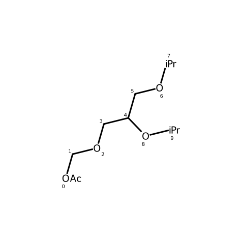 CC(=O)OCOCC(COC(C)C)OC(C)C